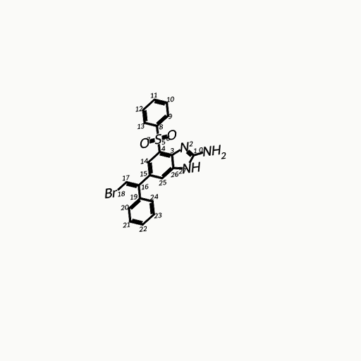 Nc1nc2c(S(=O)(=O)c3ccccc3)cc(/C(=C/Br)c3ccccc3)cc2[nH]1